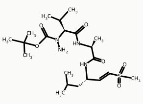 CC(C)C[C@@H](/C=C/S(C)(=O)=O)NC(=O)[C@H](C)NC(=O)[C@H](C(C)C)N(N)C(=O)OC(C)(C)C